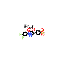 CC(C)CC(C)Oc1c(-c2ccc(S(C)(=O)=O)cc2)cnn(-c2ccc(F)c(F)c2)c1=O